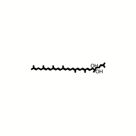 CC(C)=CCC/C(C)=C/C=C/C(C)=C/C=C/C(C)=C/C=C/C=C(C)/C=C/C=C(C)/C=C/C(O)C(C)(O)CCC=C(C)C